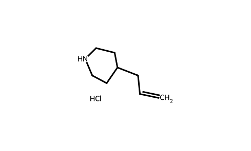 C=CCC1CCNCC1.Cl